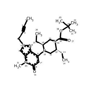 CC#CCn1cc2c(n1)c(N1C[C@@H](CC)N(C(=O)OC(C)(C)C)C[C@@H]1CC)cc(=O)n2C